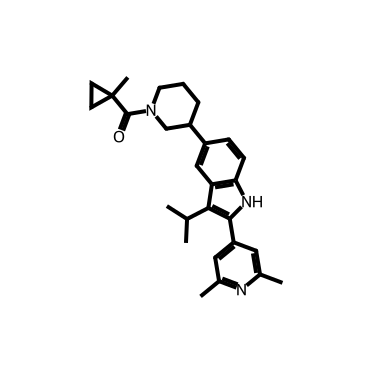 Cc1cc(-c2[nH]c3ccc(C4CCCN(C(=O)C5(C)CC5)C4)cc3c2C(C)C)cc(C)n1